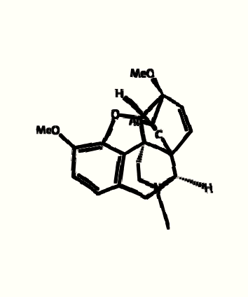 COc1ccc2c3c1OC1[C@]34CCN(C)[C@H](C2)C42C=C[C@]1(OC)[C@@H](C(C)=O)C2